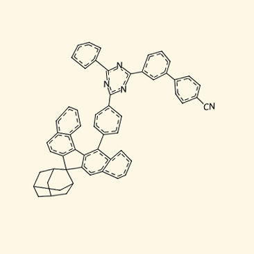 N#Cc1ccc(-c2cccc(-c3nc(-c4ccccc4)nc(-c4ccc(-c5c6c(cc7ccccc57)C5(c7ccc8ccccc8c7-6)C6CC7CC(C6)CC5C7)cc4)n3)c2)cc1